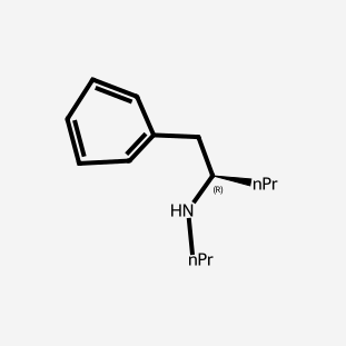 CCCN[C@H](CCC)Cc1ccccc1